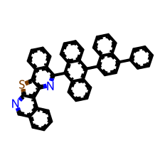 c1ccc(-c2ccc(-c3c4ccccc4c(-c4nc5c(sc6ncc7ccccc7c65)c5ccccc45)c4ccccc34)c3ccccc23)cc1